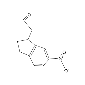 O=CCC1CCc2ccc([N+](=O)[O-])cc21